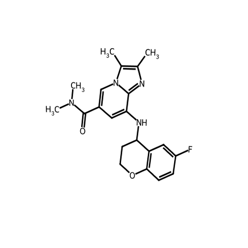 Cc1nc2c(NC3CCOc4ccc(F)cc43)cc(C(=O)N(C)C)cn2c1C